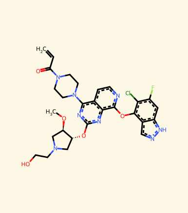 C=CC(=O)N1CCN(c2nc(O[C@@H]3CN(CCO)C[C@H]3OC)nc3c(Oc4c(Cl)c(F)cc5[nH]ncc45)nccc23)CC1